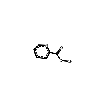 COC(=O)c1ccccn1